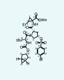 CCC1C[C@]1(NC(=O)[C@@H]1C[C@H](OS(=O)(=O)c2ccc(Br)cc2)CN1C(=O)[C@@H](NC(=O)O[C@@H]1C[C@@H]2C[C@@H]2C1)C(C)(C)C)C(=O)OC